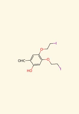 O=Cc1cc(OCCI)c(OCCI)cc1O